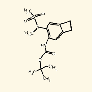 CN(c1cc2c(cc1NC(=O)OC(C)(C)C)CC2)S(C)(=O)=O